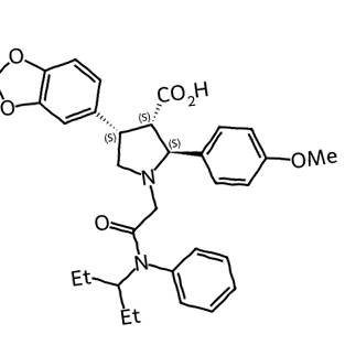 CCC(CC)N(C(=O)CN1C[C@H](c2ccc3c(c2)OCO3)[C@H](C(=O)O)[C@H]1c1ccc(OC)cc1)c1ccccc1